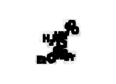 CCc1ccc(N(CC(C)C)S(=O)(=O)c2ccc(NCC3CCOC3=O)c(N)c2)cc1